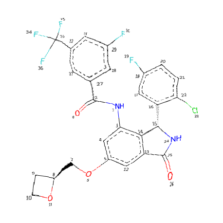 O=C(Nc1cc(OC[C@@H]2CCO2)cc2c1[C@H](c1cc(F)ccc1Cl)NC2=O)c1cc(F)cc(C(F)(F)F)c1